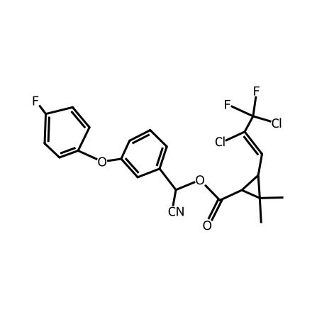 CC1(C)C(C=C(Cl)C(F)(F)Cl)C1C(=O)OC(C#N)c1cccc(Oc2ccc(F)cc2)c1